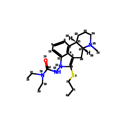 CCCSc1c2c3c(cccc3n1NC(=O)N(CC)CC)[C@H]1CCCN(C)[C@@H]1C2